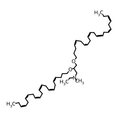 CC/C=C\C/C=C\C/C=C\C/C=C\C/C=C\C/C=C\CCCOCC(CN(C)CC)OCCC/C=C\C/C=C\C/C=C\C/C=C\C/C=C\C/C=C\CC